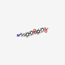 CC(=O)OC1CCC(c2ccc(OC(=O)C3CCC(C4CCC(CCCCC#N)CC4)CC3)cc2)CC1